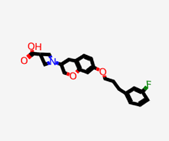 O=C(O)C1CN(C2COc3cc(OCCCc4cccc(F)c4)ccc3C2)C1